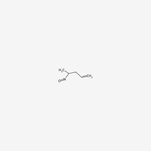 C=CCC(C)N=O